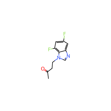 CC(=O)CCn1cnc2cc(F)cc(F)c21